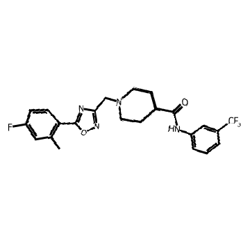 Cc1cc(F)ccc1-c1nc(CN2CCC(C(=O)Nc3cccc(C(F)(F)F)c3)CC2)no1